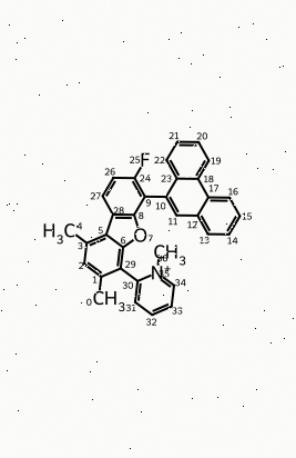 Cc1cc(C)c2c(oc3c(-c4cc5ccccc5c5ccccc45)c(F)ccc32)c1-c1cccc[n+]1C